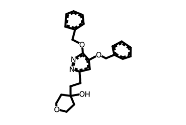 OC1(CCc2cc(OCc3ccccc3)c(OCc3ccccc3)nn2)CCOCC1